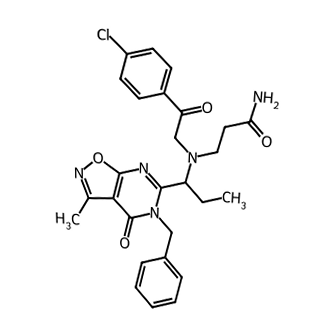 CCC(c1nc2onc(C)c2c(=O)n1Cc1ccccc1)N(CCC(N)=O)CC(=O)c1ccc(Cl)cc1